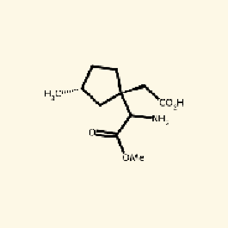 COC(=O)C(N)[C@@]1(CC(=O)O)CC[C@@H](C)C1